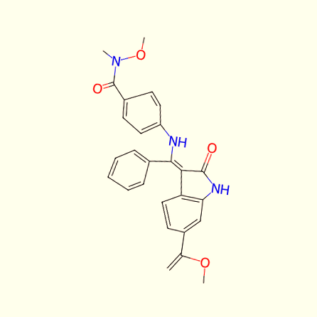 C=C(OC)c1ccc2c(c1)NC(=O)/C2=C(\Nc1ccc(C(=O)N(C)OC)cc1)c1ccccc1